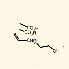 C=CC(=O)O.CC(=O)O.CC(=O)O.OCCO